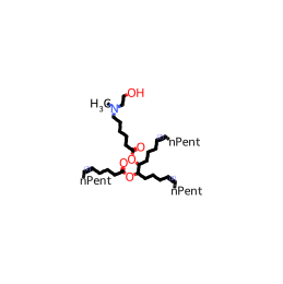 CCCCC/C=C\CCCC(=O)OC(CCC/C=C\CCCCC)C(CCC/C=C\CCCCC)OC(=O)CCCCCN(C)CCO